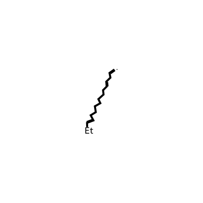 [CH]=CCC=CCCCCCCCC=CCC